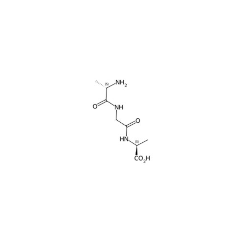 C[C@H](N)C(=O)NCC(=O)N[C@@H](C)C(=O)O